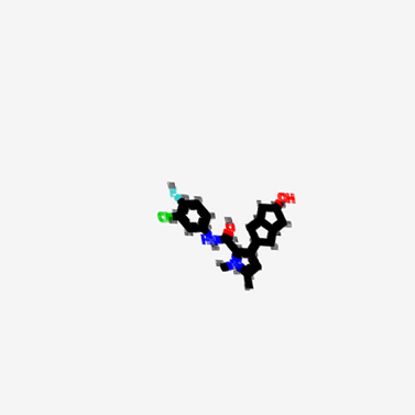 Cc1cc(C2CC3CC(O)CC3C2)c(C(=O)Nc2ccc(F)c(Cl)c2)n1C